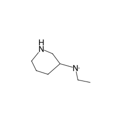 CC[N]C1CCCNC1